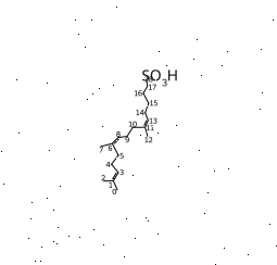 CC(C)=CCCC(C)=CCCC(C)=CCCCCS(=O)(=O)O